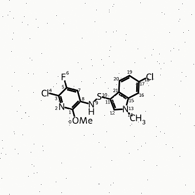 COc1nc(Cl)c(F)cc1NSc1cn(C)c2cc(Cl)ccc12